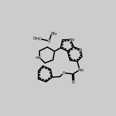 CC(C)(C)OC=O.O=C(Nc1cnc2[nH]cc(C3CCNCC3)c2c1)OCc1ccccc1